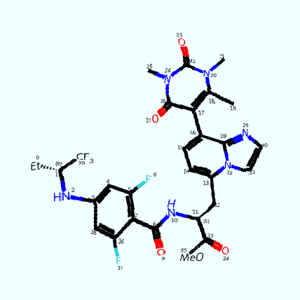 CC[C@@H](Nc1cc(F)c(C(=O)N[C@@H](Cc2ccc(-c3c(C)n(C)c(=O)n(C)c3=O)c3nccn23)C(=O)OC)c(F)c1)C(F)(F)F